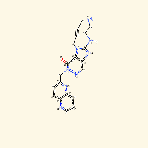 CC#CCn1c(N(C)CCN)nc2cnn(Cc3ccc4ncccc4n3)c(=O)c21